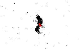 CCCCC(=O)O[C@]1(C(=O)COC(=O)Oc2cccc(CO[N+](=O)[O-])c2)[C@@H](C)C[C@H]2C3CCC4=CC(=O)C=C[C@]4(C)[C@@]3(F)[C@@H](O)C[C@@]21C